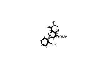 COc1cn(-c2ccccc2F)nc(C(=O)N(C)C)c1=O